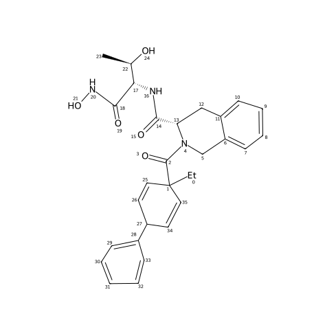 CCC1(C(=O)N2Cc3ccccc3C[C@H]2C(=O)N[C@H](C(=O)NO)[C@@H](C)O)C=CC(c2ccccc2)C=C1